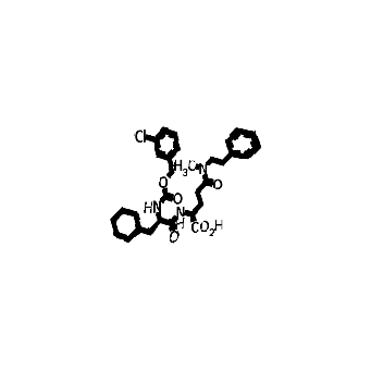 CN(CCc1ccccc1)C(=O)CCC(NC(=O)C(CC1CCCCC1)NC(=O)OCc1cccc(Cl)c1)C(=O)O